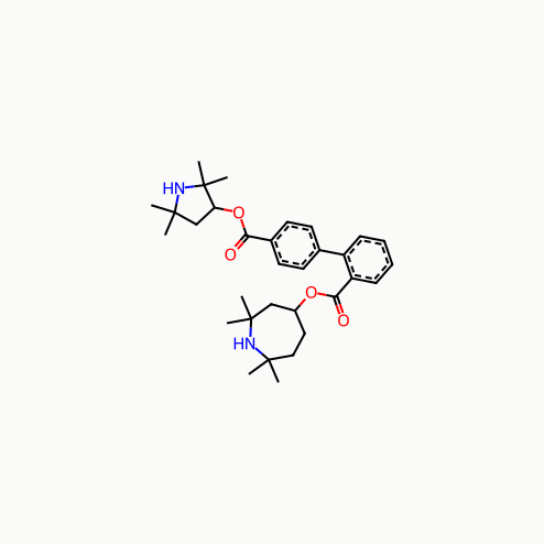 CC1(C)CCC(OC(=O)c2ccccc2-c2ccc(C(=O)OC3CC(C)(C)NC3(C)C)cc2)CC(C)(C)N1